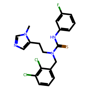 Cn1cncc1CCN(Cc1cccc(Cl)c1Cl)C(=S)Nc1cccc(F)c1